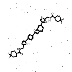 O=C(NCc1ncc(-c2ccc(-c3cc4ccc(-c5cnc(CNC(=O)C6CCC(F)(F)CC6)[nH]5)cc4o3)cc2)[nH]1)C1CCC(F)(F)CC1